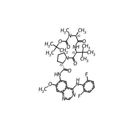 COc1cc2ncnc(Nc3c(F)cccc3F)c2cc1NC(=O)[C@@H]1CCCN1C(=O)[C@@H](NC(=O)[C@H](C)N(C)C(=O)OC(C)(C)C)C(C)(C)C